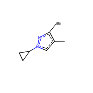 CCC(C)c1nn(C2CC2)cc1C